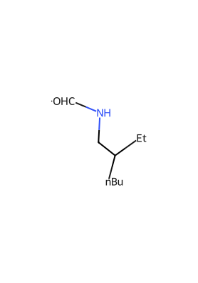 CCCCC(CC)CN[C]=O